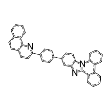 c1ccc2c(c1)ccc1ccc(-c3ccc(-c4ccc5c(c4)nc4c6ccccc6c6ccccc6n54)cc3)nc12